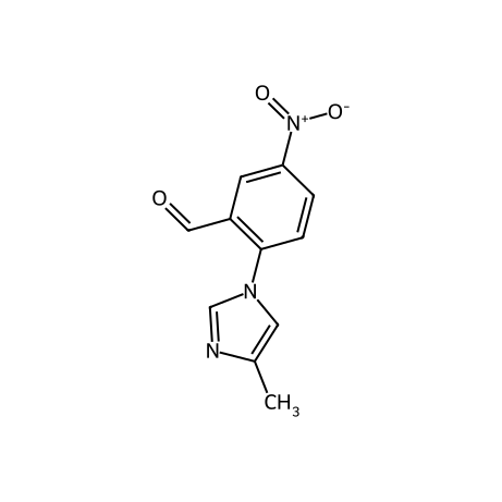 Cc1cn(-c2ccc([N+](=O)[O-])cc2C=O)cn1